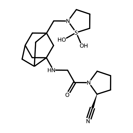 N#C[C@@H]1CCCN1C(=O)CNC12CC3CC1CC(CN1CCCS1(O)O)(C3)C2